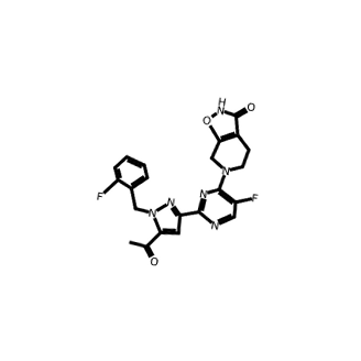 CC(=O)c1cc(-c2ncc(F)c(N3CCc4c(o[nH]c4=O)C3)n2)nn1Cc1ccccc1F